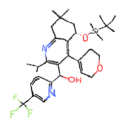 CC(C)c1nc2c(c(C3=CCOCC3)c1C(O)c1ccc(C(F)(F)F)cn1)[C@@H](O[Si](C)(C)C(C)(C)C)CC(C)(C)C2